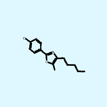 CCCCCc1nc(-c2ccc(Cl)cc2)oc1C